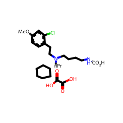 C1CCCCC1.CCCN(CCCCNC(=O)O)CCc1ccc(OC)cc1Cl.O=C(O)C(=O)O